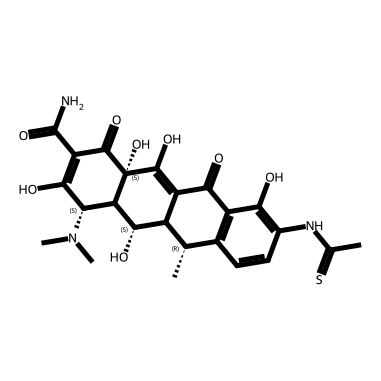 CC(=S)Nc1ccc2c(c1O)C(=O)C1=C(O)[C@]3(O)C(=O)C(C(N)=O)=C(O)[C@@H](N(C)C)C3[C@@H](O)C1[C@H]2C